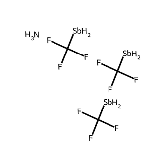 F[C](F)(F)[SbH2].F[C](F)(F)[SbH2].F[C](F)(F)[SbH2].N